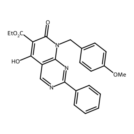 CCOC(=O)c1c(O)c2cnc(-c3ccccc3)nc2n(Cc2ccc(OC)cc2)c1=O